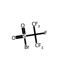 O=S(=O)(Br)C(F)(C(F)(F)F)C(F)(F)F